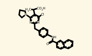 CC(C(=O)O)c1c(Cl)nc(Cc2ccc(NC(=O)c3ccc4ccccc4c3)cc2)nc1N1CCCC1